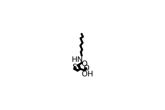 CCCCCCCCNC(=O)c1sccc1C(=O)O